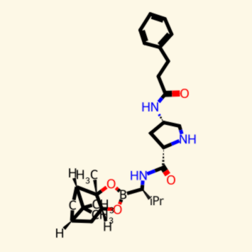 CC(C)[C@H](NC(=O)[C@@H]1C[C@H](NC(=O)CCc2ccccc2)CN1)B1O[C@@H]2C[C@@H]3C[C@@H](C3(C)C)[C@]2(C)O1